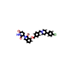 O=C1CCC(N2Cc3cccc(OCc4ccc(CN5CCC(c6ccc(Cl)cc6)CC5)cc4)c3C2=O)C(=O)N1